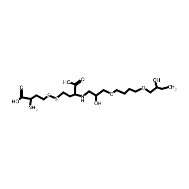 CCC(O)COCCCCOCC(O)CNC(CCSSCCC(N)C(=O)O)C(=O)O